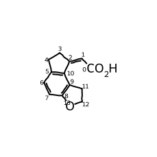 O=C(O)/C=C1/CCc2ccc3c(c21)CCO3